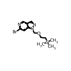 C[Si](C)(C)CCOCn1ncc2cnc(Br)cc21